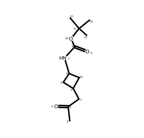 CC(=O)CC1CC(NC(=O)OC(C)(C)C)C1